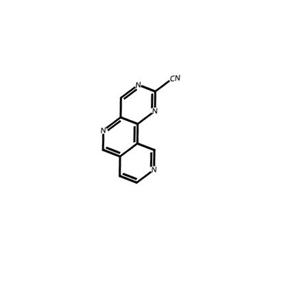 N#Cc1ncc2ncc3ccncc3c2n1